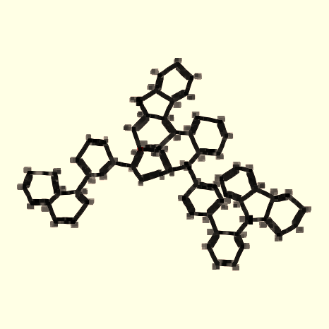 c1cc(-c2ccc(N(c3ccc(-c4ccccc4-n4c5ccccc5c5ccccc54)cc3)c3ccccc3-c3cccc4sc5ccccc5c34)cc2)cc(-c2cccc3ccccc23)c1